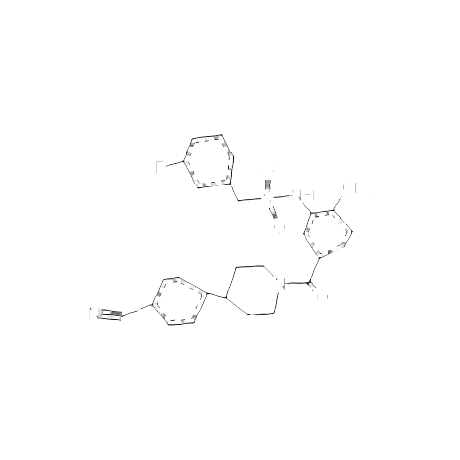 Cc1ccc(C(=O)N2CCC(c3ccc(C#N)cc3)CC2)cc1NS(=O)(=O)Cc1cccc(F)c1